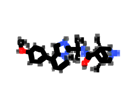 COc1ccc(-c2cccn3c(C(C)(C)NC(=O)C4[C@@H]5CNC[C@H]4C5)ncc23)cc1